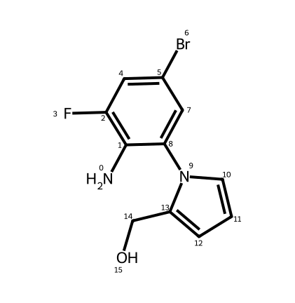 Nc1c(F)cc(Br)cc1-n1cccc1CO